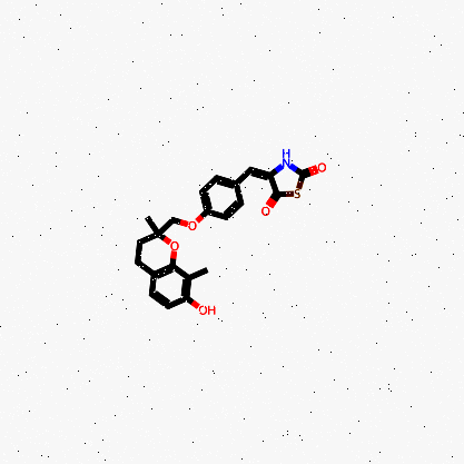 Cc1c(O)ccc2c1OC(C)(COc1ccc(C=C3NC(=O)SC3=O)cc1)CC2